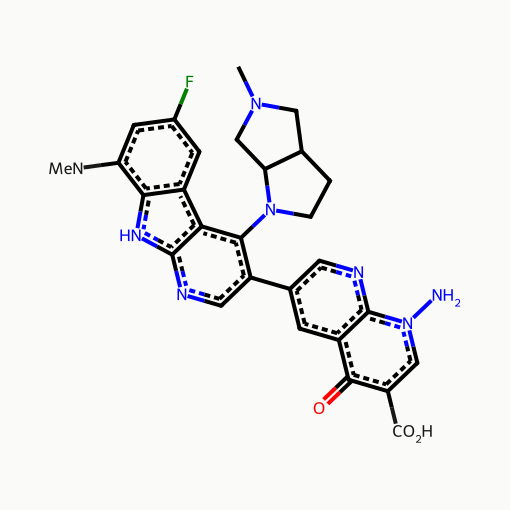 CNc1cc(F)cc2c1[nH]c1ncc(-c3cnc4c(c3)c(=O)c(C(=O)O)cn4N)c(N3CCC4CN(C)CC43)c12